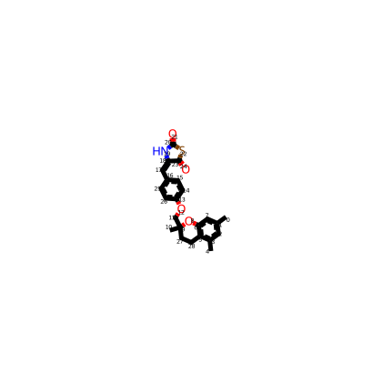 Cc1cc(C)c2c(c1)OC(C)(COc1ccc(C=C3NC(=O)SC3=O)cc1)CC2